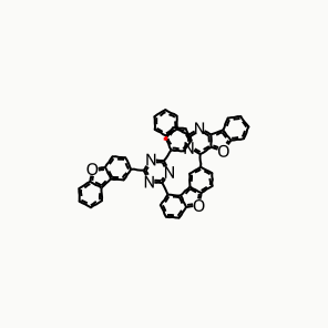 c1ccc(-c2nc(-c3ccc4oc5ccccc5c4c3)nc(-c3cccc4oc5ccc(-c6nc(-c7ccccc7)nc7c6oc6ccccc67)cc5c34)n2)cc1